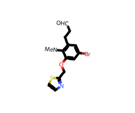 CNc1c(CCC=O)cc(Br)cc1OCc1nccs1